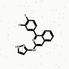 Fc1ccc(-c2nc(Nc3cc[nH]n3)cc3ccccc23)cc1F